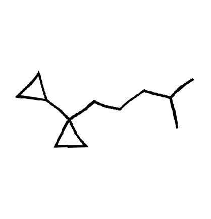 CC(C)CCCC1(C2CC2)CC1